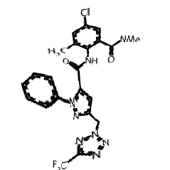 CNC(=O)c1cc(Cl)cc(C)c1NC(=O)c1cc(Cn2nnc(C(F)(F)F)n2)nn1-c1ccccc1